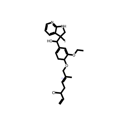 C=CC(Cl)C/C=C(\C)COC1CC=C(C(O)C2(I)CNc3ncccc32)C=C1OCC